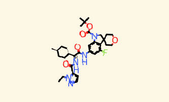 CCn1nccc1C(=O)N[C@H](C(=O)Nc1cc(F)c2c(c1)N(C(=O)OC(C)(C)C)CC21CCOCC1)[C@H]1CC[C@H](C)CC1